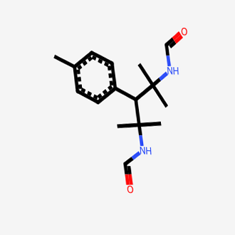 Cc1ccc(C(C(C)(C)NC=O)C(C)(C)NC=O)cc1